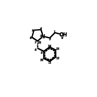 OCCN1CCC[C@H]1Cc1ccccc1